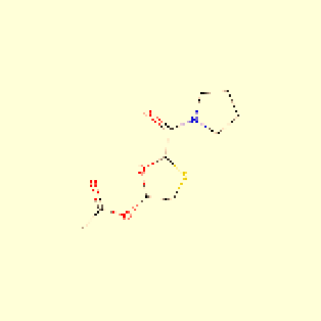 CC(=O)O[C@H]1CS[C@@H](C(=O)N2CCCC2)O1